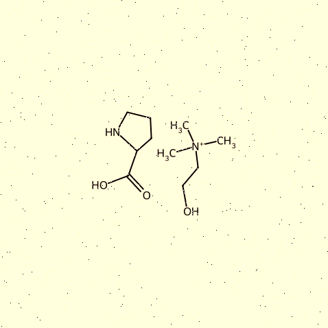 C[N+](C)(C)CCO.O=C(O)C1CCCN1